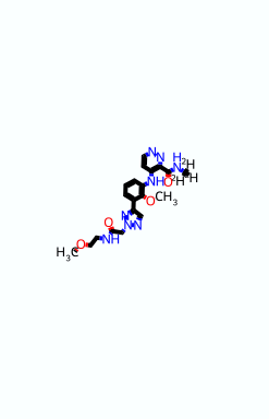 [2H]C([2H])([2H])NC(=O)c1nnccc1Nc1cccc(-c2cnn(CC(=O)NCCOC)n2)c1OC